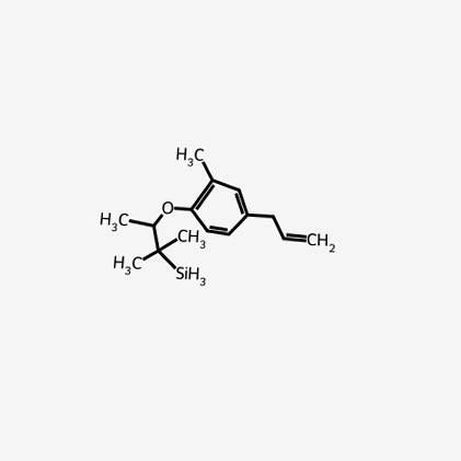 C=CCc1ccc(OC(C)C(C)(C)[SiH3])c(C)c1